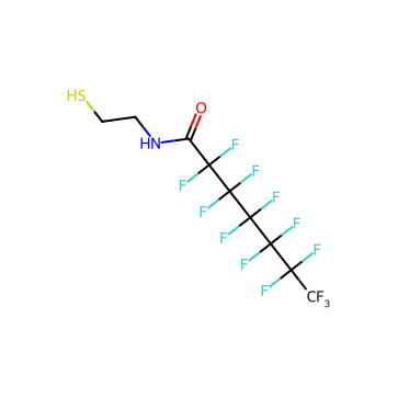 O=C(NCCS)C(F)(F)C(F)(F)C(F)(F)C(F)(F)C(F)(F)C(F)(F)F